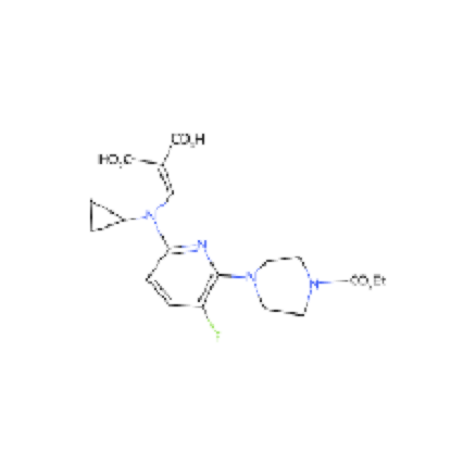 CCOC(=O)N1CCN(c2nc(N(C=C(C(=O)O)C(=O)O)C3CC3)ccc2F)CC1